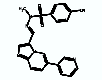 CN(N=Cc1cnc2ccc(-c3cccnc3)cn12)S(=O)(=O)c1ccc(C#N)cc1